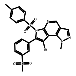 CCc1c(-c2cccc(S(C)(=O)=O)c2)n(S(=O)(=O)c2ccc(C)cc2)c2ncc3cnn(C)c3c12